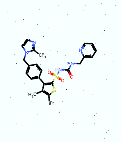 Cc1c(C(C)C)sc(S(=O)(=O)NC(=O)NCc2ccccn2)c1-c1ccc(Cn2ccnc2C(F)(F)F)cc1